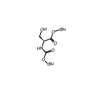 CC(C)(C)OC(=O)N[C@@H](CO)C(=O)OC(C)(C)C